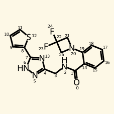 O=C(NCc1n[nH]c(-c2cccs2)n1)c1ccccc1N1CC(F)(F)C1